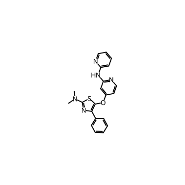 CN(C)c1nc(-c2ccccc2)c(Oc2ccnc(Nc3ccccn3)c2)s1